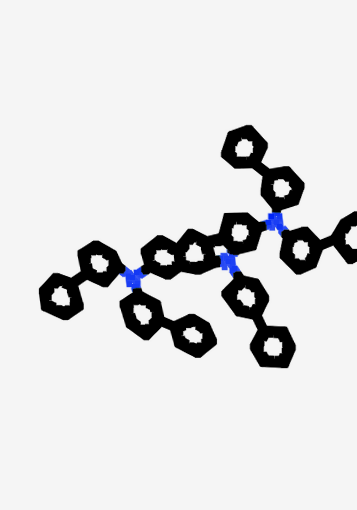 c1ccc(-c2ccc(-n3c4cc(N(c5cccc(-c6ccccc6)c5)c5cccc(-c6ccccc6)c5)ccc4c4cc5ccc(N(c6cccc(-c7ccccc7)c6)c6cccc(-c7ccccc7)c6)cc5cc43)cc2)cc1